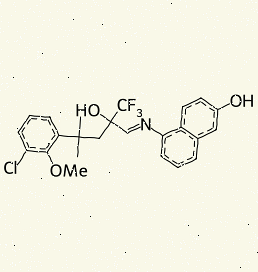 COc1c(Cl)cccc1C(C)(C)CC(O)(C=Nc1cccc2cc(O)ccc12)C(F)(F)F